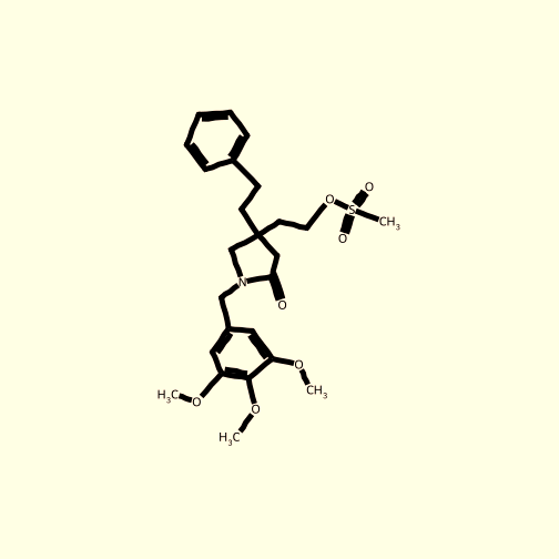 COc1cc(CN2CC(CCOS(C)(=O)=O)(CCc3ccccc3)CC2=O)cc(OC)c1OC